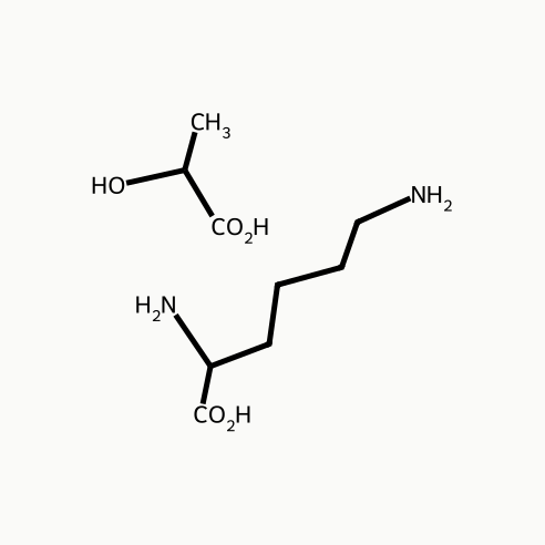 CC(O)C(=O)O.NCCCCC(N)C(=O)O